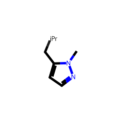 CC(C)Cc1ccnn1C